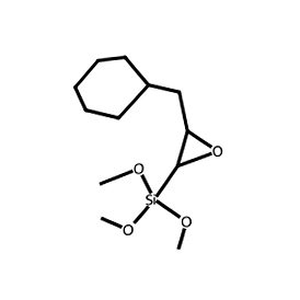 CO[Si](OC)(OC)C1OC1CC1CCCCC1